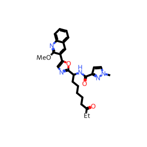 CCC(=O)CCCCCC(NC(=O)c1ccn(C)n1)c1ncc(-c2cc3ccccc3nc2OC)o1